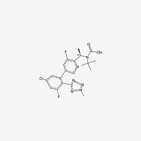 C[C@H](c1ncc(-c2cc(Cl)cc(F)c2-c2nnn(C)n2)cc1F)N(C(=O)O)C(C)(C)C